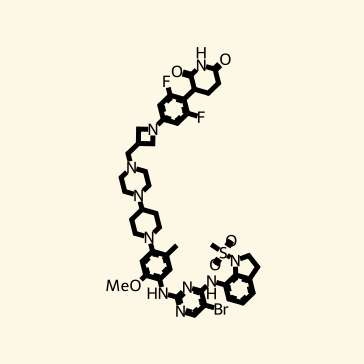 COc1cc(N2CCC(N3CCN(CC4CN(c5cc(F)c(C6CCC(=O)NC6=O)c(F)c5)C4)CC3)CC2)c(C)cc1Nc1ncc(Br)c(Nc2cccc3c2N(S(C)(=O)=O)CC3)n1